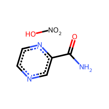 NC(=O)c1cnccn1.O=[N+]([O-])O